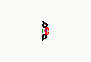 Cc1ccc(OP(F)Oc2ccc(C)cc2)cc1